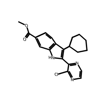 COC(=O)c1ccc2c(C3CCCCC3)c(-c3nccnc3Cl)[nH]c2c1